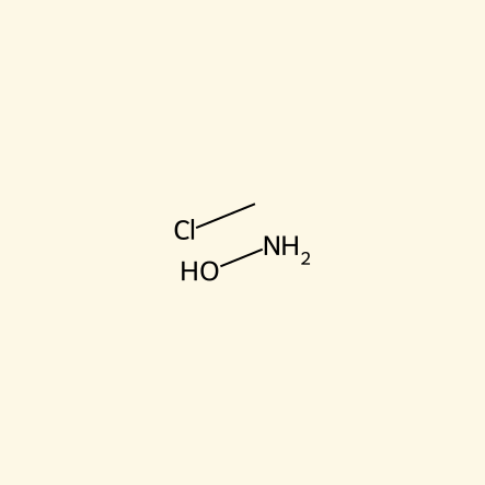 CCl.NO